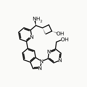 N[C@H](c1cccc(-c2ccc3cnn(-c4cncc(CO)n4)c3c2)n1)[C@H]1C[C@@H](O)C1